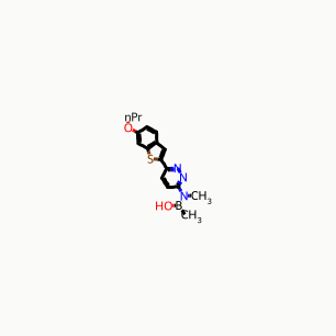 CCCOc1ccc2cc(-c3ccc(N(C)B(C)O)nn3)sc2c1